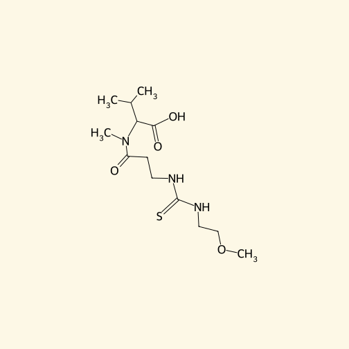 COCCNC(=S)NCCC(=O)N(C)C(C(=O)O)C(C)C